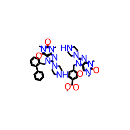 COC(=O)c1ccc(Cn2c(N3CCNCC3)nc3c2c(=O)n(C)c(=O)n3C)cc1.Cn1c(=O)c2c(nc(N3CCNCC3)n2Cc2ccccc2-c2ccccc2)n(C)c1=O